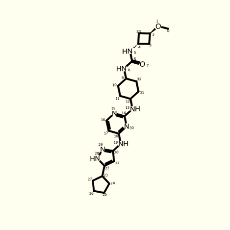 CO[C@H]1C[C@H](NC(=O)NC2CCC(Nc3nccc(Nc4cc(C5CCCC5)[nH]n4)n3)CC2)C1